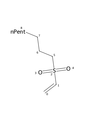 C=CS(=O)(=O)CCCCCCCC